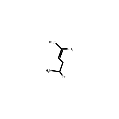 CCC(N)CC=C(C)C(=O)O